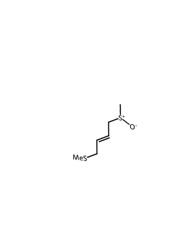 CSC/C=C/C[S+](C)[O-]